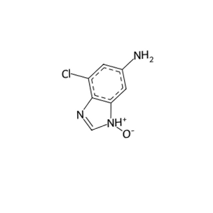 Nc1cc(Cl)c2c(c1)[NH+]([O-])C=N2